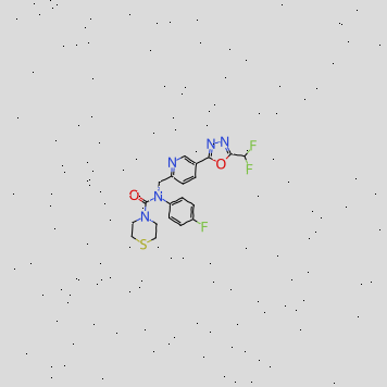 O=C(N1CCSCC1)N(Cc1ccc(-c2nnc(C(F)F)o2)cn1)c1ccc(F)cc1